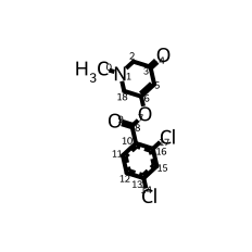 CN1CC(=O)C=C(OC(=O)c2ccc(Cl)cc2Cl)C1